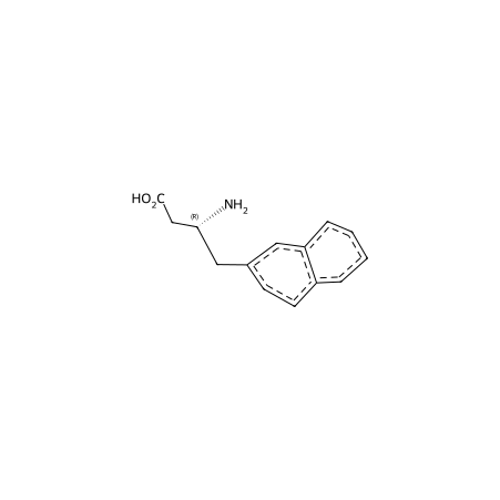 N[C@@H](CC(=O)O)Cc1ccc2ccccc2c1